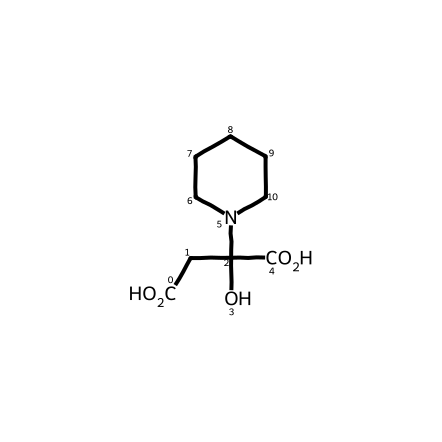 O=C(O)CC(O)(C(=O)O)N1CCCCC1